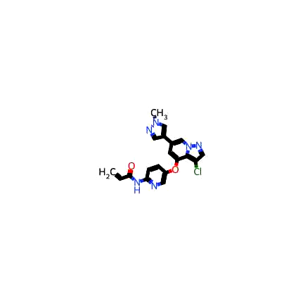 C=CC(=O)Nc1ccc(Oc2cc(-c3cnn(C)c3)cn3ncc(Cl)c23)cn1